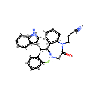 N#CCCN1C(=O)CN=C([C@@H](c2ccccc2F)c2c[nH]c3ccccc23)c2ccccc21